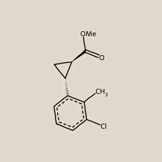 COC(=O)[C@@H]1C[C@H]1c1cccc(Cl)c1C